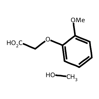 CO.COc1ccccc1OCC(=O)O